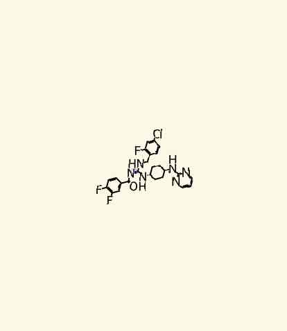 O=C(/N=C(/NCc1ccc(Cl)cc1F)N[C@H]1CC[C@H](Nc2ncccn2)CC1)c1ccc(F)c(F)c1